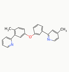 Cc1ccnc(-c2cccc(Oc3ccc(C)c(-c4ccccn4)c3)c2)c1